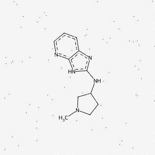 CN1CCC(Nc2nc3cccnc3[nH]2)C1